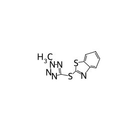 Cn1nnc(Sc2nc3ccccc3s2)n1